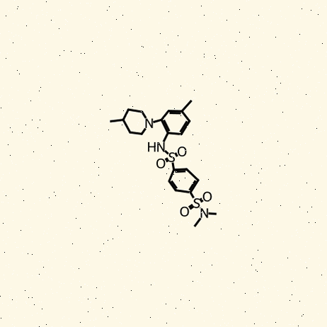 Cc1ccc(NS(=O)(=O)c2ccc(S(=O)(=O)N(C)C)cc2)c(N2CCC(C)CC2)c1